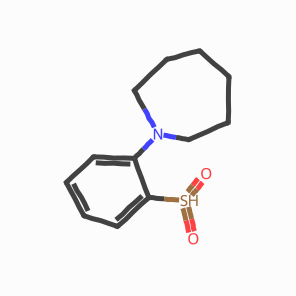 O=[SH](=O)c1ccccc1N1CCCCCC1